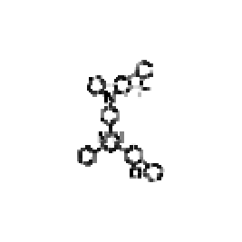 CC1(C)c2ccccc2-c2cc3c4ccccc4n(-c4ccc(-c5nc(-c6ccccc6)cc(-c6ccc7c(c6)oc6ccccc67)n5)cc4)c3cc21